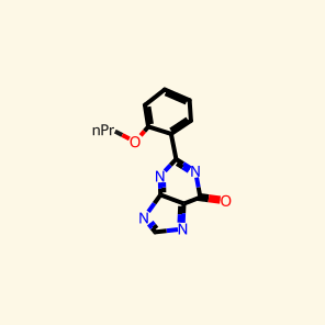 CCCOc1ccccc1C1=NC(=O)C2=NC=NC2=N1